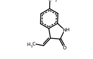 C/C=C1/C(=O)Nc2cc(N)ccc21